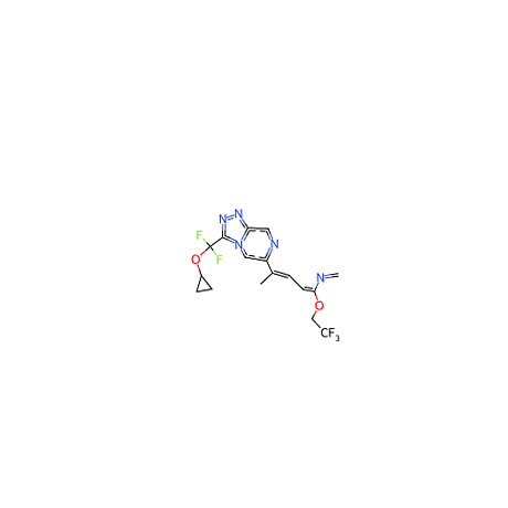 C=N/C(=C\C=C(/C)c1cn2c(C(F)(F)OC3CC3)nnc2cn1)OCC(F)(F)F